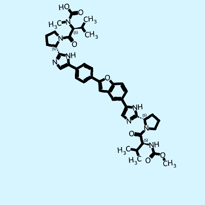 COC(=O)N[C@H](C(=O)N1CCC[C@H]1c1ncc(-c2ccc3oc(-c4ccc(-c5cnc([C@@H]6CCCN6C(=O)[C@H](C(C)C)N(C)C(=O)O)[nH]5)cc4)cc3c2)[nH]1)C(C)C